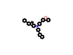 CC1(C)c2cc(-c3ccccc3)ccc2-c2ccc(N(c3ccc(-c4ccc5ccccc5c4)cc3)c3ccc(-c4ccc5oc6ccccc6c5c4)cc3)cc21